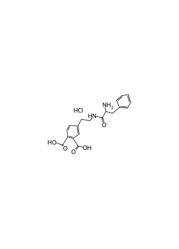 Cl.NC(Cc1ccccc1)C(=O)NCCc1ccc(C(=O)O)c(C(=O)O)c1